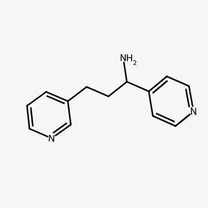 NC(CCc1cccnc1)c1ccncc1